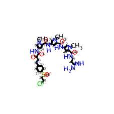 Cn1cc(NC(=O)c2cc(NC(=O)c3cc(NC(=O)C(=O)/C=C/c4ccc([S+]([O-])CCCl)cc4)cn3C)cn2C)cc1C(=O)NCCC(=N)N